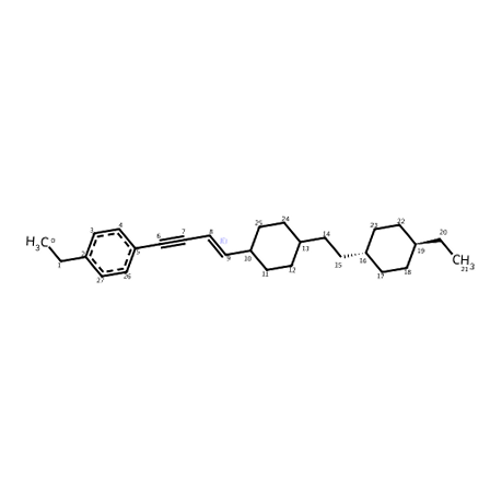 CCc1ccc(C#C/C=C/C2CCC(CC[C@H]3CC[C@H](CC)CC3)CC2)cc1